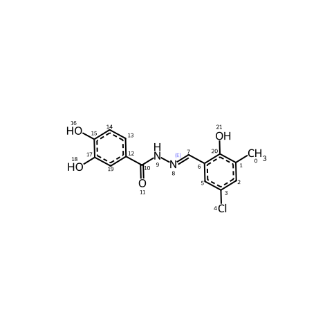 Cc1cc(Cl)cc(/C=N/NC(=O)c2ccc(O)c(O)c2)c1O